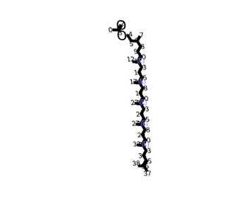 CC(=O)OCCC(C)CC/C=C(\C)CC/C=C(\C)CC/C=C(\C)CC/C=C(\C)CC/C=C(\C)CCC=C(C)C